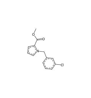 COC(=O)c1cccn1Cc1cccc(Cl)c1